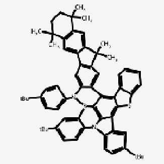 CC(C)(C)c1ccc(N2B3c4cc(C(C)(C)C)ccc4-n4c5ccc(C(C)(C)C)cc5c5c6sc7ccccc7c6c(c3c54)-c3cc4c(cc32)-c2cc3c(cc2C4(C)C)C(C)(C)CCC3(C)C)cc1